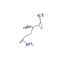 C=C(N)CCC(CCCC)C1CC1CC